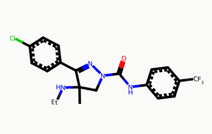 CCNC1(C)CN(C(=O)Nc2ccc(C(F)(F)F)cc2)N=C1c1ccc(Cl)cc1